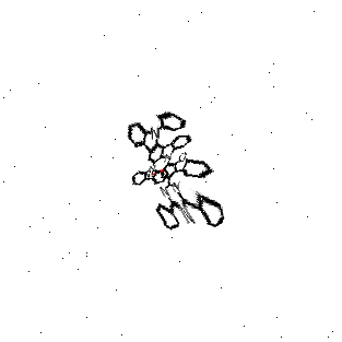 N#Cc1cc(-c2nc(-c3ccccc3)nc(-c3ccccc3)n2)c2c(oc3ccccc32)c1-n1c2ccccc2c2c1c(-n1c3ccccc3c3ccccc31)cc1c3ccccc3n(-c3ccccc3)c12